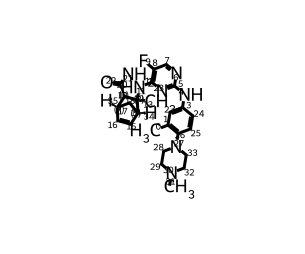 Cc1cc(Nc2ncc(F)c(N[C@]3(C)[C@@H]4C=C[C@@H](C4)[C@H]3C(N)=O)n2)ccc1N1CCN(C)CC1